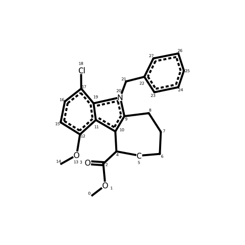 COC(=O)C1CCCCc2c1c1c(OC)ccc(Cl)c1n2Cc1ccccc1